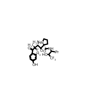 CC(C)C(NC(=O)[C@@]1(C(=O)[C@@H](N)C(C)(C)C(=O)c2ccc(O)cc2)CCCN1)C(O)C(F)(F)F